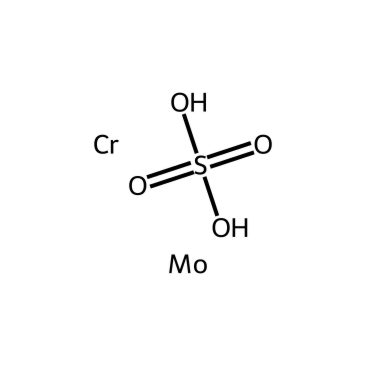 O=S(=O)(O)O.[Cr].[Mo]